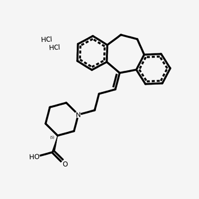 Cl.Cl.O=C(O)[C@H]1CCCN(CCC=C2c3ccccc3CCc3ccccc32)C1